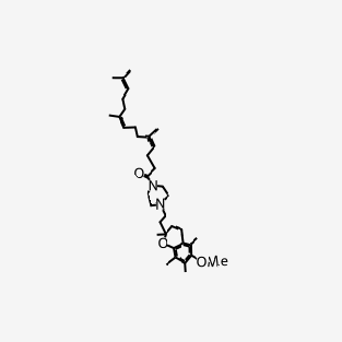 COc1c(C)c(C)c2c(c1C)CCC(C)(CCN1CCN(C(=O)CCC=C(C)CCC=C(C)CCC=C(C)C)CC1)O2